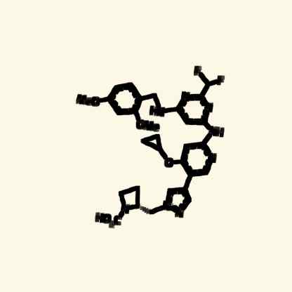 COc1ccc(CNc2cc(Nc3cc(OC4CC4)c(-c4cnn(C[C@H]5CCN5C(=O)O)c4)cn3)nc(C(F)F)n2)c(OC)c1